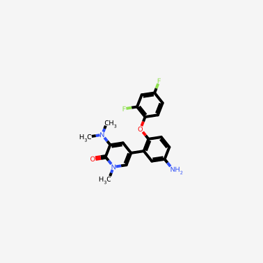 CN(C)c1cc(-c2cc(N)ccc2Oc2ccc(F)cc2F)cn(C)c1=O